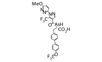 COc1ccc(-n2ncc(C(=O)[AsH][C@@H](Cc3ccc(-c4ccc(OC(F)(F)F)cc4)cc3)C(=O)O)c2C(F)(F)F)nn1